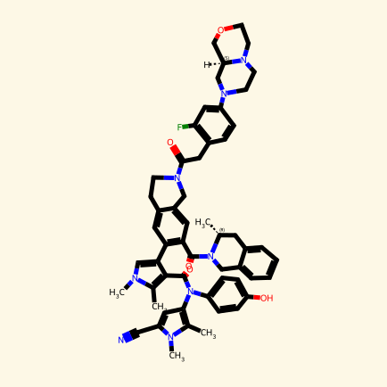 Cc1c(C(=O)N(c2ccc(O)cc2)c2cc(C#N)n(C)c2C)c(-c2cc3c(cc2C(=O)N2Cc4ccccc4C[C@H]2C)CN(C(=O)Cc2ccc(N4CCN5CCOC[C@@H]5C4)cc2F)CC3)cn1C